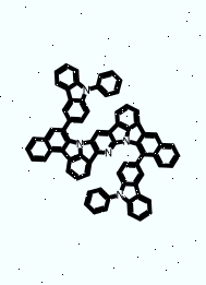 c1ccc(-n2c3ccccc3c3cc(-c4cc5ccccc5c5c6cccc7c8nc9c(cc8n(c45)c76)c4cccc5c6cc7ccccc7c(-c7ccc8c(c7)c7ccccc7n8-c7ccccc7)c6n9c45)ccc32)cc1